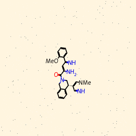 CN/C=C(\C=N)[C@H]1CN(C(=O)/C(N)=C/C(=N)c2ccccc2OC)Cc2ccccc21